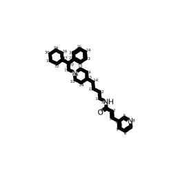 O=C(C=Cc1cccnc1)NCCCCC1CCN(CC(c2ccccc2)C2CCCCC2)CC1